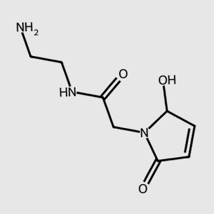 NCCNC(=O)CN1C(=O)C=CC1O